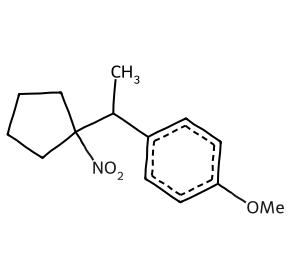 COc1ccc(C(C)C2([N+](=O)[O-])CCCC2)cc1